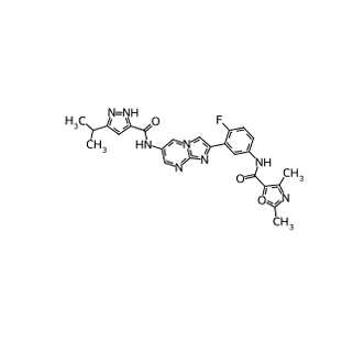 Cc1nc(C)c(C(=O)Nc2ccc(F)c(-c3cn4cc(NC(=O)c5cc(C(C)C)n[nH]5)cnc4n3)c2)o1